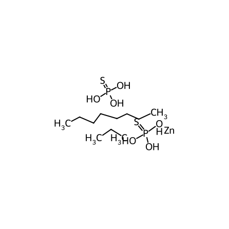 CCC.CCCCCCCC.OP(O)(O)=S.OP(O)(O)=S.[Zn]